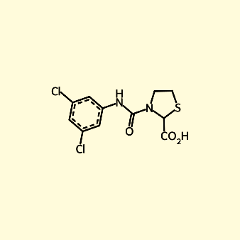 O=C(O)C1SCCN1C(=O)Nc1cc(Cl)cc(Cl)c1